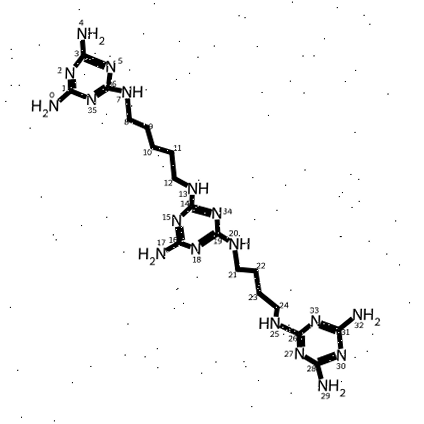 Nc1nc(N)nc(NCCCCCNc2nc(N)nc(NCCCCNc3nc(N)nc(N)n3)n2)n1